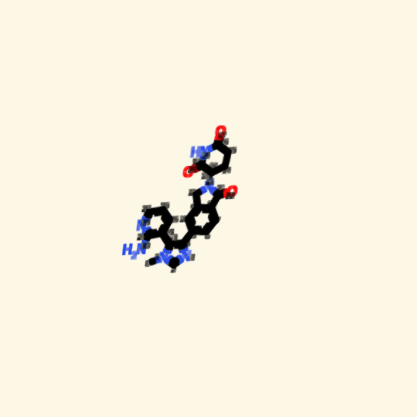 Cn1cnc(-c2ccc3c(c2)CN([C@H]2CCC(=O)NC2=O)C3=O)c1-c1cccnc1N